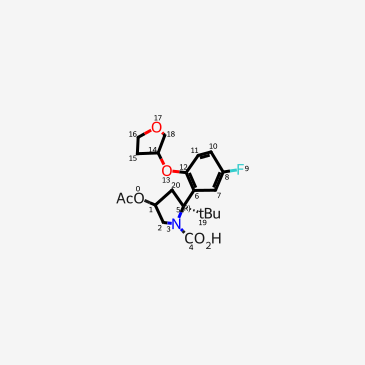 CC(=O)OC1CN(C(=O)O)[C@@](c2cc(F)ccc2OC2CCOC2)(C(C)(C)C)C1